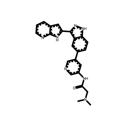 CN(C)CC(=O)Nc1cncc(-c2ccc3[nH]nc(-c4cc5cccnc5[nH]4)c3c2)c1